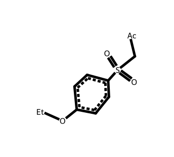 CCOc1ccc(S(=O)(=O)CC(C)=O)cc1